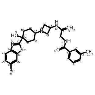 C=C(CNC(=O)c1cccc(C(F)(F)F)c1)NC1CN(C2CCC(O)(c3nc4ccc(Br)cc4s3)CC2)C1